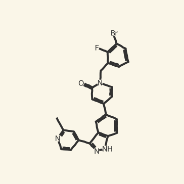 Cc1cc(-c2n[nH]c3ccc(-c4ccn(Cc5cccc(Br)c5F)c(=O)c4)cc23)ccn1